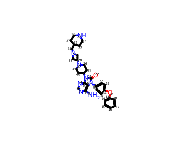 Nc1ncnc2c1n(-c1ccc(Oc3ccccc3)cc1)c(=O)n2C1CCN(C2CN(CC3CCNCC3)C2)CC1